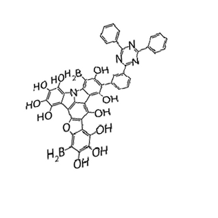 Bc1c(O)c(O)c(O)c2c1oc1c2c(O)c2c3c(O)c(-c4cccc(-c5nc(-c6ccccc6)nc(-c6ccccc6)n5)c4)c(O)c(B)c3n3c4c(O)c(O)c(O)c(O)c4c1c23